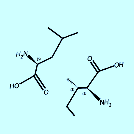 CC(C)C[C@H](N)C(=O)O.CC[C@H](C)[C@H](N)C(=O)O